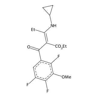 CCOC(=O)C(C(=O)c1cc(F)c(F)c(OC)c1F)=C(CC)NC1CC1